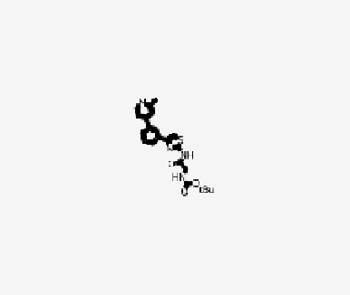 Cc1cc(-c2cccc(-c3csc(NC(=O)CNC(=O)OC(C)(C)C)n3)c2)ccn1